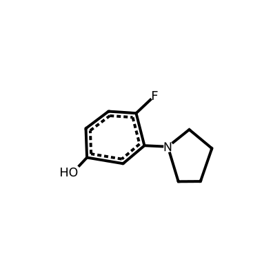 Oc1ccc(F)c(N2CCCC2)c1